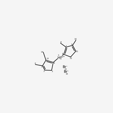 CC1=CC[C]([Hf+2][C]2=C(C)C(C)=CC2)=C1C.[Br-].[Br-]